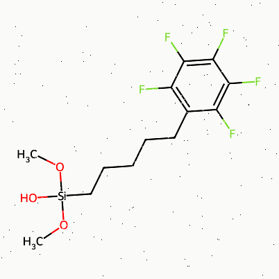 CO[Si](O)(CCCCCc1c(F)c(F)c(F)c(F)c1F)OC